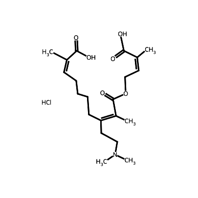 CC(=CCCCCC(CCN(C)C)=C(C)C(=O)OCC=C(C)C(=O)O)C(=O)O.Cl